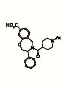 CC(=O)N1CCC(C(=O)N2Cc3ccc(C(=O)O)cc3OCC2c2ccccc2)CC1